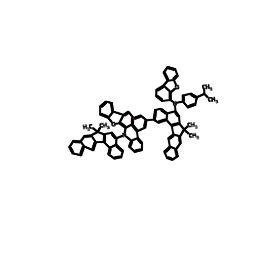 CC(C)c1ccc(N(c2cc3c(c4cc(-c5cccc(-c6ccccc6N(c6cc7c(c8ccccc68)-c6cc8ccccc8cc6C7(C)C)c6cccc7c6oc6ccccc67)c5)ccc24)-c2cc4ccccc4cc2C3(C)C)c2cccc3c2oc2ccccc23)cc1